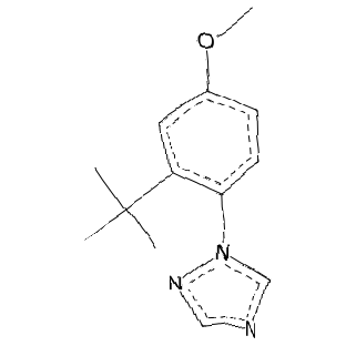 COc1ccc(-n2cncn2)c(C(C)(C)C)c1